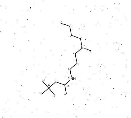 CCCCN(C)CCCNC(C)CC(C)(C)C